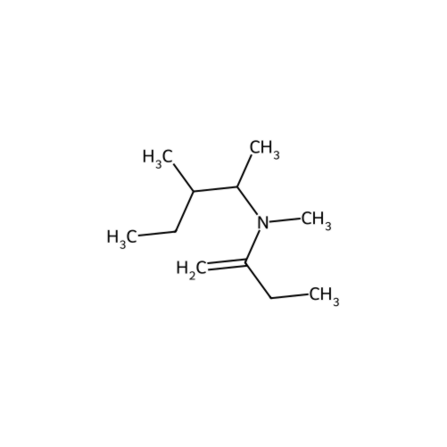 C=C(CC)N(C)C(C)C(C)CC